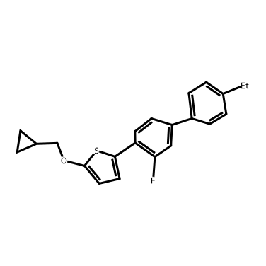 CCc1ccc(-c2ccc(-c3ccc(OCC4CC4)s3)c(F)c2)cc1